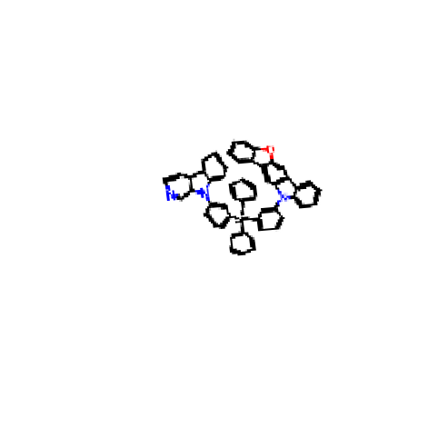 C1=CC2c3ccccc3N(c3cccc([Si](c4ccccc4)(c4ccccc4)c4cccc(-n5c6ccccc6c6cc7oc8ccccc8c7cc65)c4)c3)C2C=N1